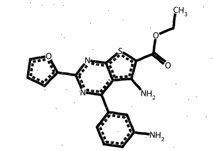 CCOC(=O)c1sc2nc(-c3ccco3)nc(-c3cccc(N)c3)c2c1N